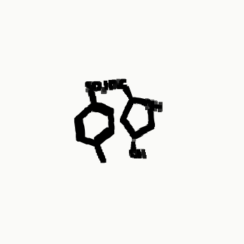 Cc1ccc(S(=O)(=O)O)cc1.N#C[C@@H]1C[C@@H](O)CN1